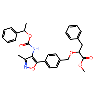 COC(=O)C(Cc1ccccc1)OCc1ccc(-c2onc(C)c2NC(=O)OC(C)c2ccccc2)cc1